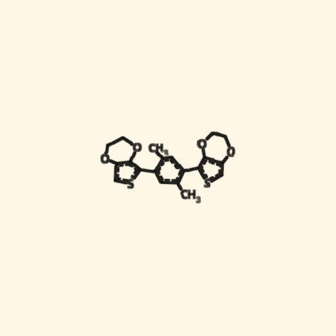 Cc1cc(-c2scc3c2OCCO3)c(C)cc1-c1scc2c1OCCO2